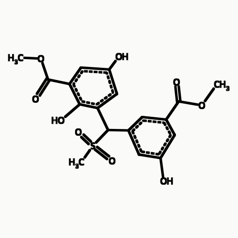 COC(=O)c1cc(O)cc(C(c2cc(O)cc(C(=O)OC)c2O)S(C)(=O)=O)c1